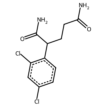 NC(=O)CCC(C(N)=O)c1ccc(Cl)cc1Cl